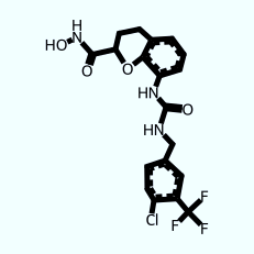 O=C(NCc1ccc(Cl)c(C(F)(F)F)c1)Nc1cccc2c1OC(C(=O)NO)CC2